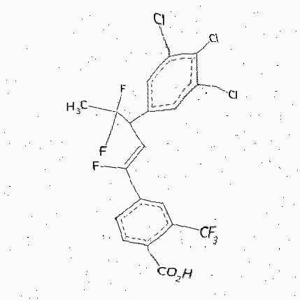 CC(F)(F)C(C=C(F)c1ccc(C(=O)O)c(C(F)(F)F)c1)c1cc(Cl)c(Cl)c(Cl)c1